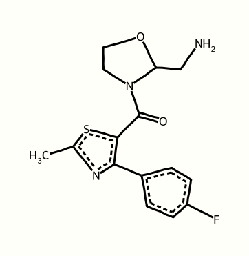 Cc1nc(-c2ccc(F)cc2)c(C(=O)N2CCOC2CN)s1